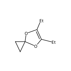 CCC1=C(CC)OC2(CC2)O1